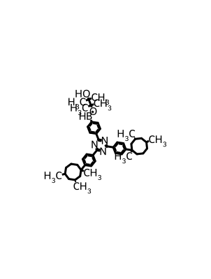 CC1CCCC(C)(c2ccc(-c3nc(-c4ccc(BOC(C)(C)C(C)(C)O)cc4)nc(-c4ccc(C5(C)CCCC(C)C[C@H](C)C5)cc4)n3)cc2)C[C@H](C)C1